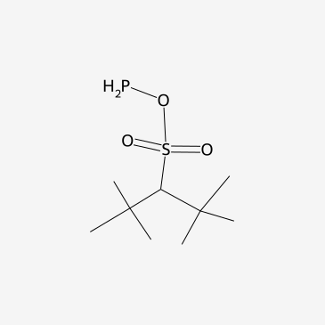 CC(C)(C)C(C(C)(C)C)S(=O)(=O)OP